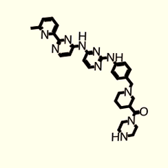 Cc1cccc(-c2nccc(Nc3ccnc(Nc4ccc(CN5CCCC(C(=O)N6CCNCC6)C5)cc4)n3)n2)n1